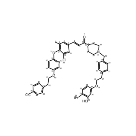 Cc1cc(/C=C/C(=O)N2CCN(Cc3ccc(CCOc4ccc(C(C)C)cc4)cc3)CC2)cc(Cl)c1Oc1ccc(OCCc2ccc(Cl)cc2)cn1.Cl